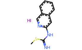 CSC(=N)Nc1cc2ccccc2cn1.I